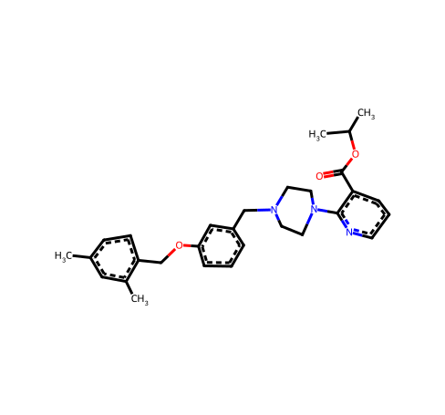 Cc1ccc(COc2cccc(CN3CCN(c4ncccc4C(=O)OC(C)C)CC3)c2)c(C)c1